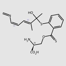 C=N/C=C\C=C(/C)C(C)(O)Sc1ccccc1C(=S)OC[C@H](N)C(=O)O